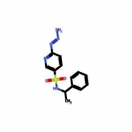 CC(NS(=O)(=O)c1ccc(N=NN)nc1)c1ccccc1